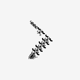 CCCN(CCC)C(=S)[S-].CCCN(CCC)C(=S)[S-].CCCN(CCC)C(=S)[S-].CCCN(CCC)C(=S)[S-].CCCN(CCC)C(=S)[S-].CCCN(CCC)C(=S)[S-].O=S.O=S.O=S.O=S.O=S.O=S.[Mo+6]